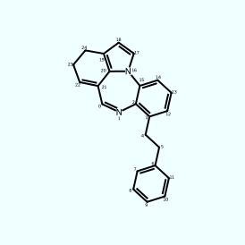 C1=Nc2c(CCc3ccccc3)cccc2-n2ccc3c2C1=CCC3